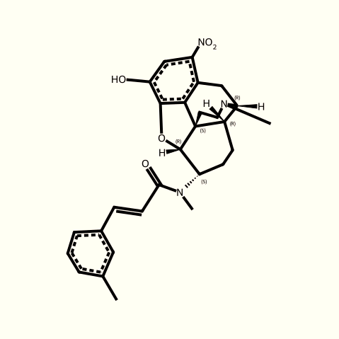 Cc1cccc(C=CC(=O)N(C)[C@H]2CC[C@H]3[C@H]4Cc5c([N+](=O)[O-])cc(O)c6c5[C@@]3(CCN4C)[C@H]2O6)c1